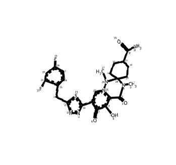 CN1C(=O)c2c(O)c(=O)c(-c3nnc(Cc4ccc(F)cc4F)s3)cn2N(C)C12CCC(C(N)=O)CC2